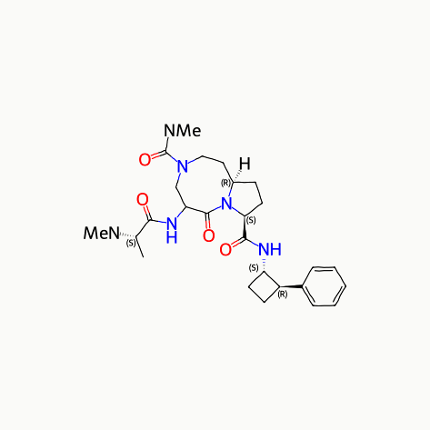 CNC(=O)N1CC[C@H]2CC[C@@H](C(=O)N[C@H]3CC[C@@H]3c3ccccc3)N2C(=O)C(NC(=O)[C@H](C)NC)C1